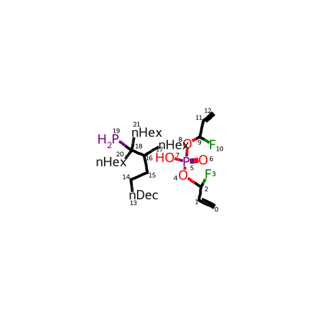 C=CC(F)OP(=O)(O)OC(F)C=C.CCCCCCCCCCCCC(CCCCCC)C(P)(CCCCCC)CCCCCC